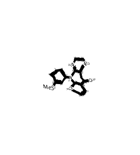 CSc1cccc(-n2c3c(c(=O)c4nccnc42)CCO3)c1